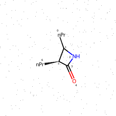 CCCC1NC(=O)[C@H]1CCC